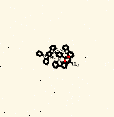 CC(C)(C)c1ccc(-c2c(-n3c4ccccc4c4ccccc43)c(C#N)c(-n3c4ccccc4c4cc5c(cc43)C3C=CC=CC3N5c3ccccc3)c(C#N)c2-n2c3ccccc3c3ccccc32)cc1